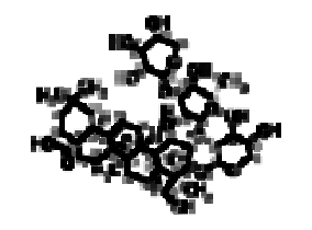 C[C@@H]1O[C@@H](O[C@H]2[C@H](O[C@H]3CC[C@@]4(C)[C@@H](CC[C@]5(C)[C@@H]4CC=C4[C@@H]6CC(C)(C)CC[C@]6(C(=O)O)CC[C@]45C)[C@]3(C)CO)OC[C@H](O)[C@@H]2O)[C@H](O)[C@H](O[C@@H]2OC[C@@H](O)[C@H](O)[C@H]2O)[C@H]1O